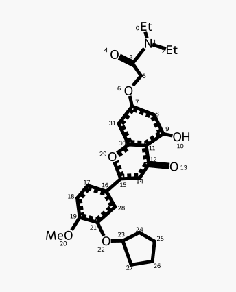 CCN(CC)C(=O)COc1cc(O)c2c(=O)cc(-c3ccc(OC)c(OC4CCCC4)c3)oc2c1